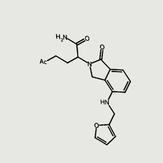 CC(=O)CCC(C(N)=O)N1Cc2c(NCc3ccco3)cccc2C1=O